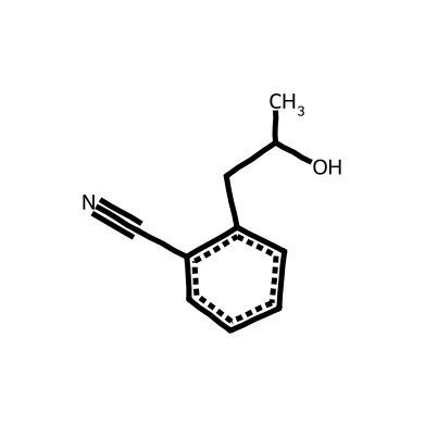 CC(O)Cc1ccccc1C#N